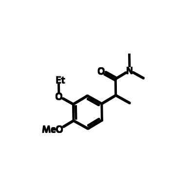 CCOc1cc(C(C)C(=O)N(C)C)ccc1OC